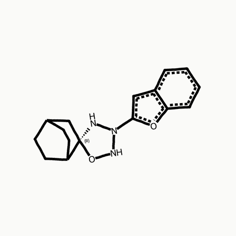 c1ccc2oc(N3NO[C@@]4(CC5CCC4CC5)N3)cc2c1